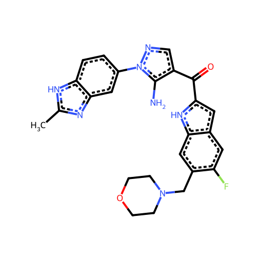 Cc1nc2cc(-n3ncc(C(=O)c4cc5cc(F)c(CN6CCOCC6)cc5[nH]4)c3N)ccc2[nH]1